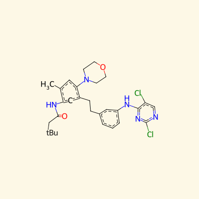 Cc1cc(N2CCOCC2)c(CCc2cccc(Nc3nc(Cl)ncc3Cl)c2)cc1NC(=O)CC(C)(C)C